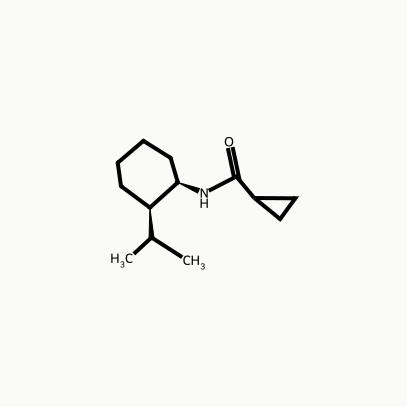 CC(C)[C@H]1CCCC[C@H]1NC(=O)C1CC1